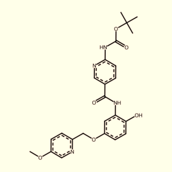 COc1ccc(COc2ccc(O)c(NC(=O)c3ccc(NC(=O)OC(C)(C)C)nc3)c2)nc1